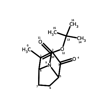 CC1=CC(=O)C2CCC1N2C(=O)OC(C)(C)C